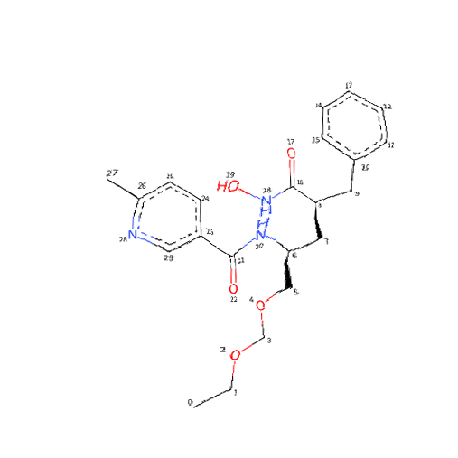 CCOCOC[C@H](C[C@H](Cc1ccccc1)C(=O)NO)NC(=O)c1ccc(C)nc1